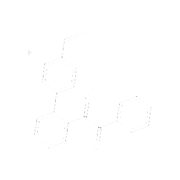 O=Cc1ccc(-c2ccccc2C(=O)C(=O)c2ccccc2)cc1F